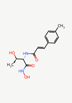 Cc1ccc(C=CC(=O)N[C@H](C(=O)NO)[C@@H](C)O)cc1